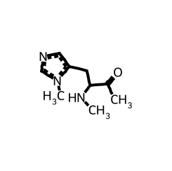 CNC(Cc1cncn1C)C(C)=O